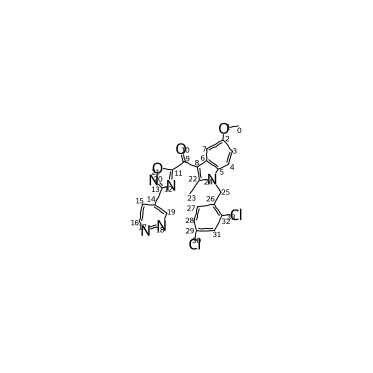 COc1ccc2c(c1)c(C(=O)c1nc(-c3ccnnc3)no1)c(C)n2Cc1ccc(Cl)cc1Cl